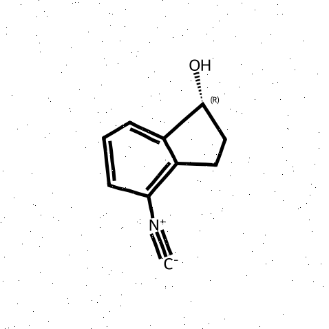 [C-]#[N+]c1cccc2c1CC[C@H]2O